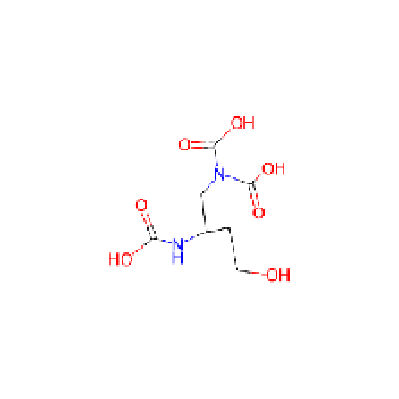 O=C(O)NC(CCO)CN(C(=O)O)C(=O)O